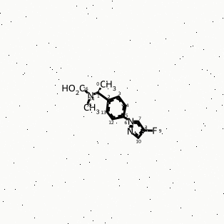 C[C@@H](c1ccc(-n2cc(F)cn2)cc1)N(C)C(=O)O